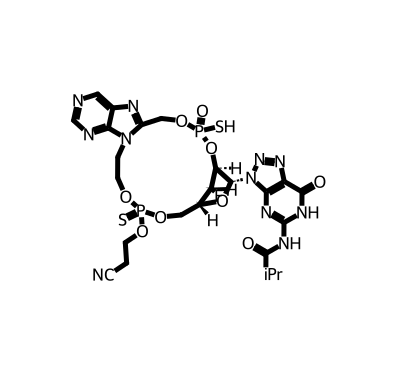 CC(C)C(=O)Nc1nc2c(nnn2[C@@H]2O[C@@H]3COP(=S)(OCCC#N)OCCn4c(nc5cncnc54)COP(=O)(S)O[C@@H]2[C@@H]3F)c(=O)[nH]1